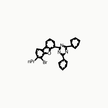 CCCc1ccc2c(oc3c(-c4nc(-c5ccccc5)nc(-c5ccccc5)n4)cccc32)c1Br